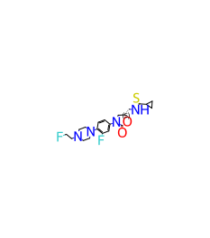 O=C1O[C@@H](CNC(=S)C2CC2)CN1c1ccc(N2CCN(CCF)CC2)c(F)c1